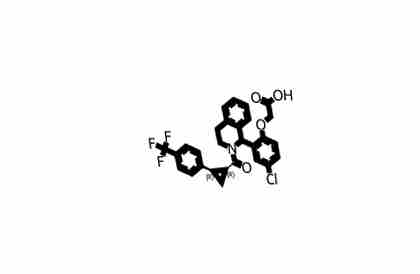 O=C(O)COc1ccc(Cl)cc1C1c2ccccc2CCN1C(=O)[C@@H]1C[C@H]1c1ccc(C(F)(F)F)cc1